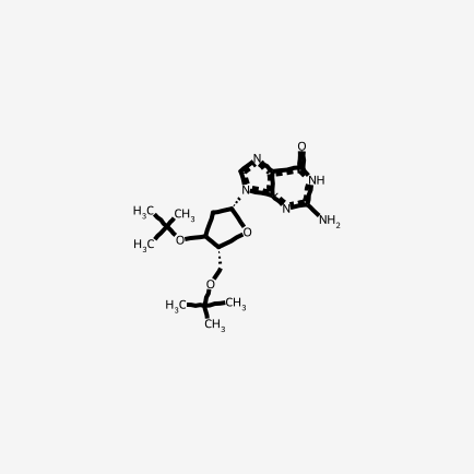 CC(C)(C)OC[C@H]1O[C@@H](n2cnc3c(=O)[nH]c(N)nc32)CC1OC(C)(C)C